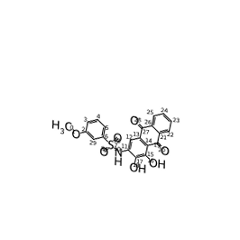 COc1cccc(S(=O)(=O)Nc2cc3c(c(O)c2O)C(=O)c2ccccc2C3=O)c1